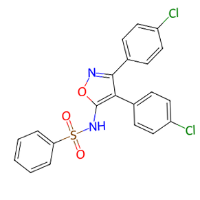 O=S(=O)(Nc1onc(-c2ccc(Cl)cc2)c1-c1ccc(Cl)cc1)c1ccccc1